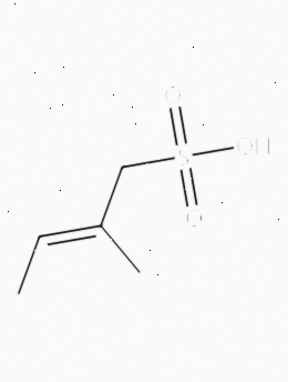 C/C=C(\C)CS(=O)(=O)O